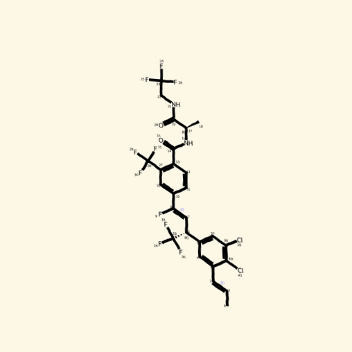 C/C=C/c1cc([C@@H](/C=C(\F)c2ccc(C(=O)N[C@H](C)C(=O)NCC(F)(F)F)c(C(F)(F)F)c2)C(F)(F)F)cc(Cl)c1Cl